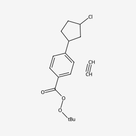 C#C.CC(C)(C)OOC(=O)c1ccc(C2CCC(Cl)C2)cc1